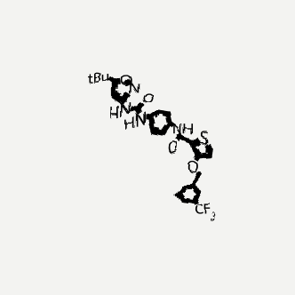 CC(C)(C)c1cc(NC(=O)Nc2ccc(NC(=O)c3sccc3OCc3cccc(C(F)(F)F)c3)cc2)no1